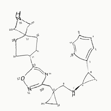 c1ccc([C@@H]2C[C@H]2NCC2(c3noc(C4CCC5(CC4)CNC5)n3)CC2)cc1